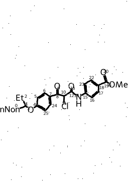 CCCCCCCCCC(CC)Oc1ccc(C(=O)C(Cl)C(=O)Nc2ccc(C(=O)OC)cc2)cc1